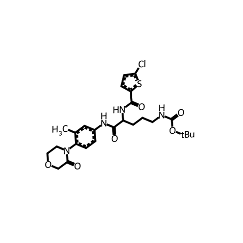 Cc1cc(NC(=O)C(CCCNC(=O)OC(C)(C)C)NC(=O)c2ccc(Cl)s2)ccc1N1CCOCC1=O